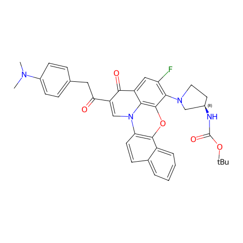 CN(C)c1ccc(CC(=O)c2cn3c4c(c(N5CC[C@@H](NC(=O)OC(C)(C)C)C5)c(F)cc4c2=O)Oc2c-3ccc3ccccc23)cc1